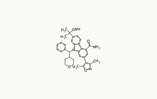 COC(C)(C)c1ccc2c3c(C(N)=O)cc(-c4c(C)noc4C)cc3n(C(c3ccccc3)C3CCOCC3)c2c1